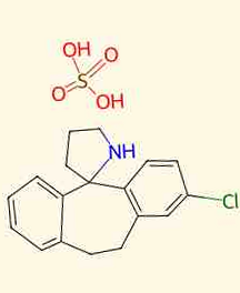 Clc1ccc2c(c1)CCc1ccccc1C21CCCN1.O=S(=O)(O)O